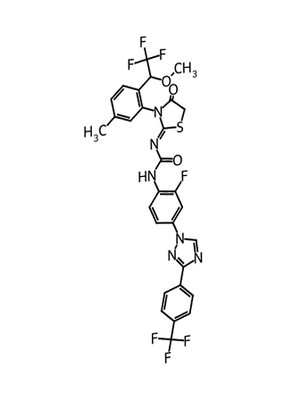 COC(c1ccc(C)cc1N1C(=O)CSC1=NC(=O)Nc1ccc(-n2cnc(-c3ccc(C(F)(F)F)cc3)n2)cc1F)C(F)(F)F